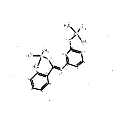 C[Si](C)(C)OC(=Nc1ccnc(O[Si](C)(C)C)n1)c1ccccc1